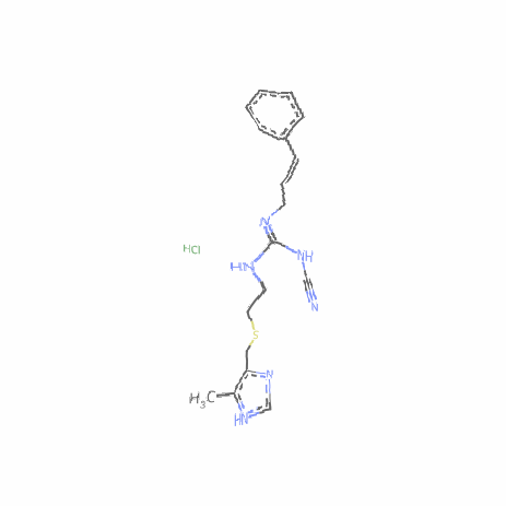 Cc1[nH]cnc1CSCCNC(=NCC=Cc1ccccc1)NC#N.Cl